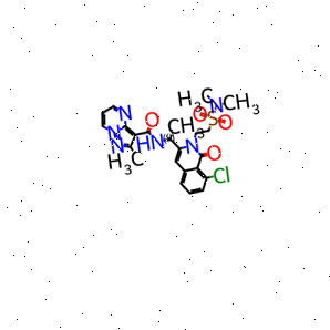 Cc1nn2cccnc2c1C(=O)N[C@@H](C)c1cc2cccc(Cl)c2c(=O)n1CCS(=O)(=O)N(C)C